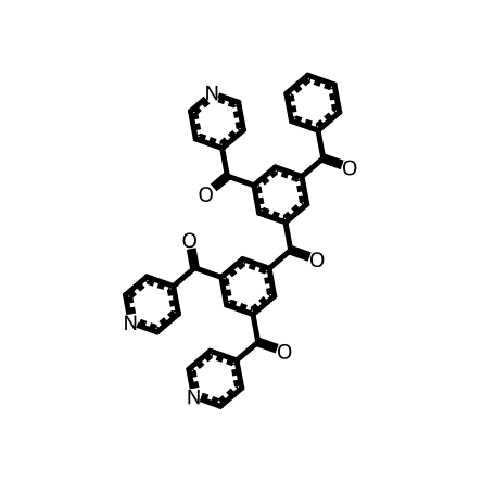 O=C(c1ccccc1)c1cc(C(=O)c2ccncc2)cc(C(=O)c2cc(C(=O)c3ccncc3)cc(C(=O)c3ccncc3)c2)c1